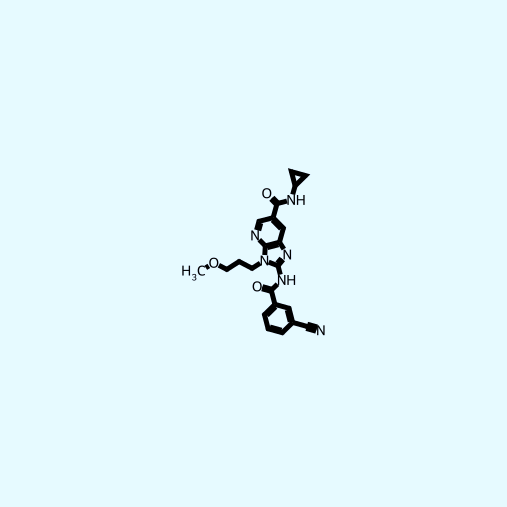 COCCCn1c(NC(=O)c2cccc(C#N)c2)nc2cc(C(=O)NC3CC3)cnc21